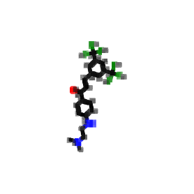 CN(C)CCNc1ccc(C(=O)C=Cc2cc(C(F)(F)F)cc(C(F)(F)F)c2)cc1